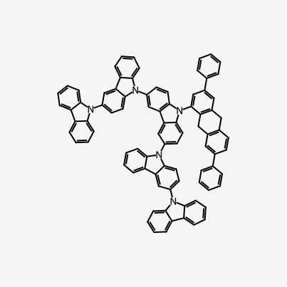 c1ccc(-c2ccc3c(c2)Cc2c(cc(-c4ccccc4)cc2-n2c4ccc(-n5c6ccccc6c6cc(-n7c8ccccc8c8ccccc87)ccc65)cc4c4cc(-n5c6ccccc6c6cc(-n7c8ccccc8c8ccccc87)ccc65)ccc42)C3)cc1